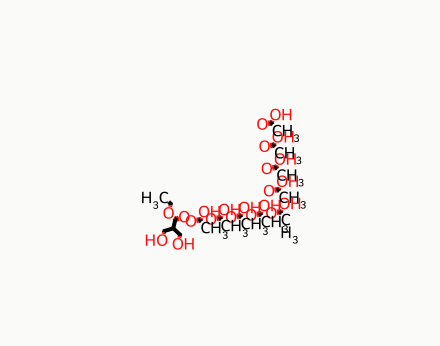 CC(=O)O.CC(=O)O.CC(=O)O.CC(=O)O.CC(=O)O.CC(=O)O.CC(=O)O.CC(=O)O.CC(=O)O.CCOC(=O)C(CO)CO